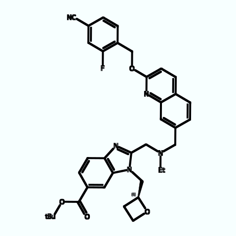 CCN(Cc1ccc2ccc(OCc3ccc(C#N)cc3F)nc2c1)Cc1nc2ccc(C(=O)OC(C)(C)C)cc2n1C[C@@H]1CCO1